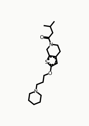 CC(C)CC(=O)N1CCc2cc(OCCCN3CCCCC3)sc2C1